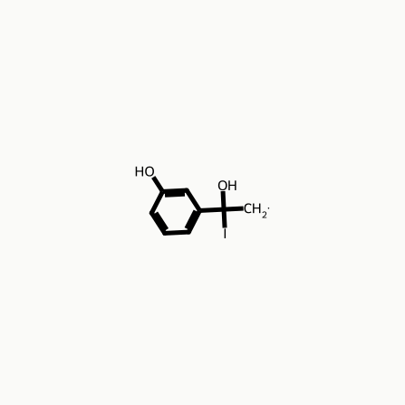 [CH2]C(O)(I)c1cccc(O)c1